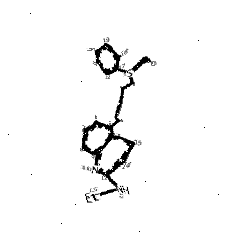 C=S(CCCc1cccc2nc(NCC)ccc12)c1ccccc1